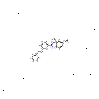 Cc1ccc2[nH]c(-c3cccc(OCc4ccccc4)c3)c(C)c2c1